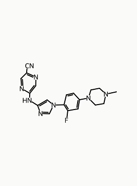 CN1CCN(c2ccc(-n3cnc(Nc4cnc(C#N)cn4)c3)c(F)c2)CC1